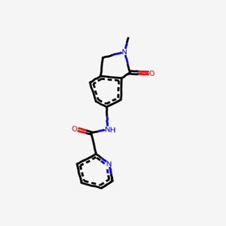 CN1Cc2ccc(NC(=O)c3ccccn3)cc2C1=O